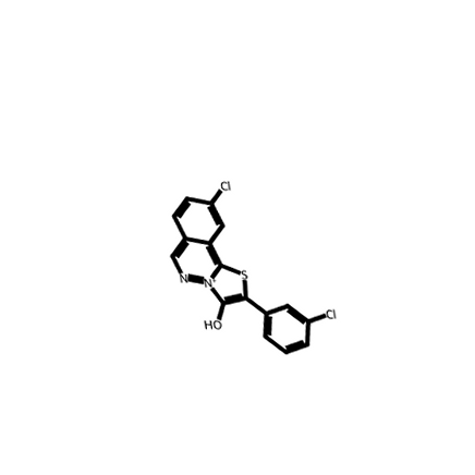 Oc1c(-c2cccc(Cl)c2)sc2c3cc(Cl)ccc3cn[n+]12